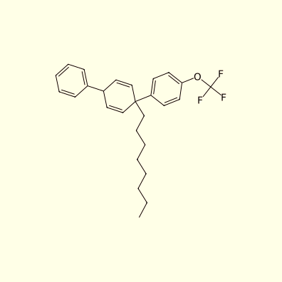 CCCCCCCCC1(c2ccc(OC(F)(F)F)cc2)C=CC(c2ccccc2)C=C1